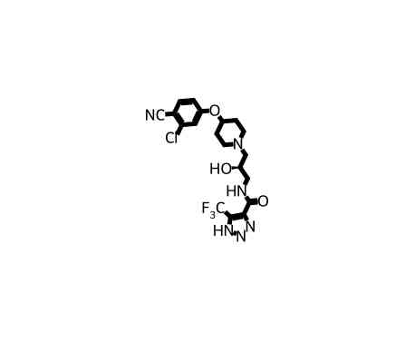 N#Cc1ccc(OC2CCN(C[C@H](O)CNC(=O)c3nn[nH]c3C(F)(F)F)CC2)cc1Cl